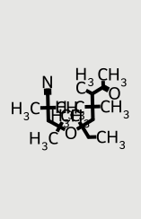 CCC(C)(CC(C)(C)C(C)C(C)=O)OC(C)(C)CC(C)(C)C#N